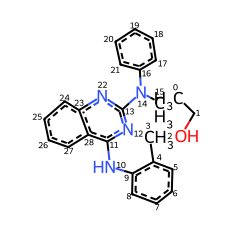 CCO.Cc1ccccc1Nc1nc(N(C)c2ccccc2)nc2ccccc12